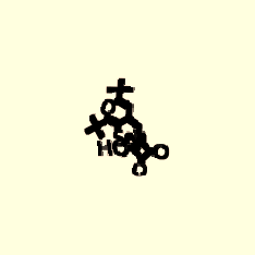 CC(C)(C)C1=CC(=Cc2c(O)c(=O)c2=O)C([SeH])=C(C(C)(C)C)O1